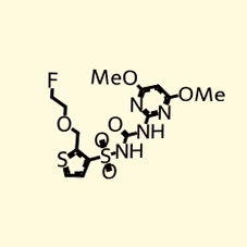 COc1cc(OC)nc(NC(=O)NS(=O)(=O)c2ccsc2COCCF)n1